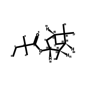 CCC(C)(C)C(=O)O[C@@H]1C[C@@H]2C[C@H]([C@H]1C)C2(C)C